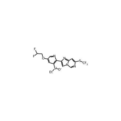 CC[S+]([O-])c1cc(OCC(F)F)cnc1-c1cn2cnc(SC(F)(F)F)cc2n1